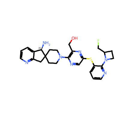 N[C@@H]1c2cccnc2CC12CCN(c1ncc(Sc3cccnc3N3CCC3CF)nc1CO)CC2